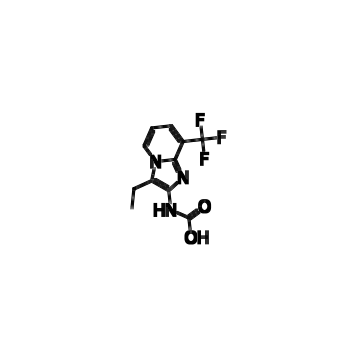 CCc1c(NC(=O)O)nc2c(C(F)(F)F)cccn12